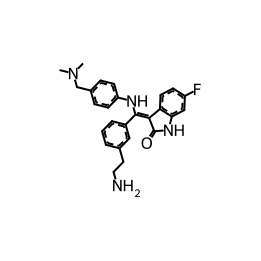 CN(C)Cc1ccc(NC(=C2C(=O)Nc3cc(F)ccc32)c2cccc(CCN)c2)cc1